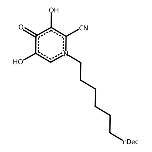 CCCCCCCCCCCCCCCCn1cc(O)c(=O)c(O)c1C#N